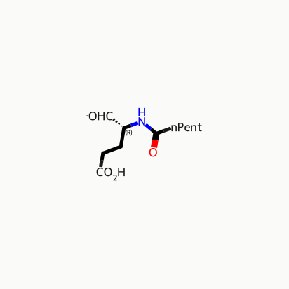 CCCCCC(=O)N[C@@H]([C]=O)CCC(=O)O